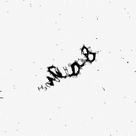 CCCOc1cccnc1CNCc1ccc(CNC2CCCc3cccnc32)cc1